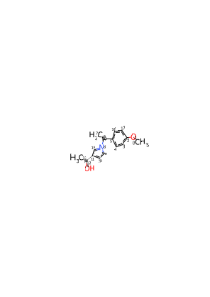 COc1ccc([C@H](C)n2ccc([C@@H](C)O)c2)cc1